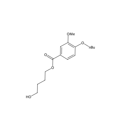 CCCCOc1ccc(C(=O)OCCCCO)cc1OC